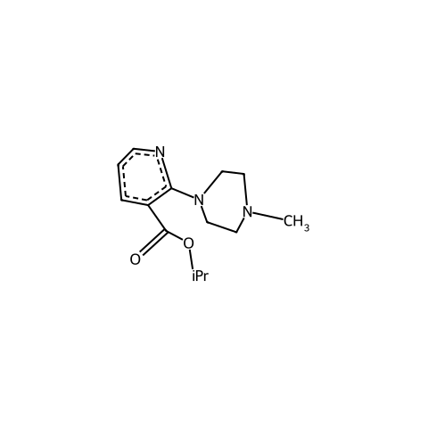 CC(C)OC(=O)c1cccnc1N1CCN(C)CC1